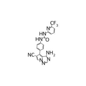 N#Cc1cn2ncnc(N)c2c1-c1ccc(NC(=O)Nc2cccc(C(F)(F)F)n2)cc1